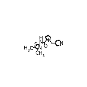 Cc1nc(NC(=O)c2cccn2Cc2ccncc2)sc1C